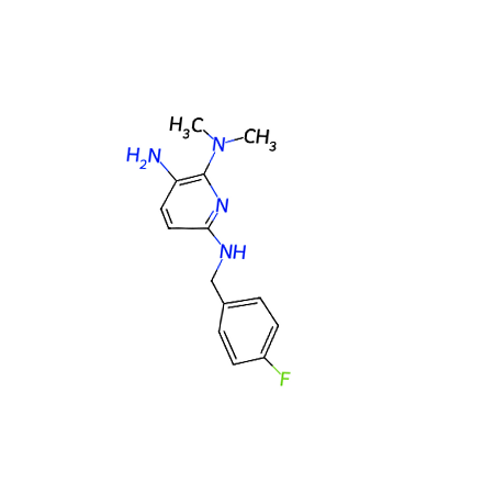 CN(C)c1nc(NCc2ccc(F)cc2)ccc1N